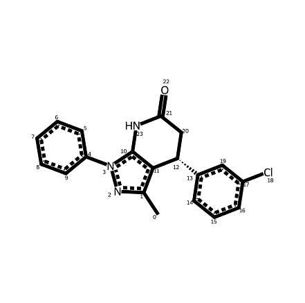 Cc1nn(-c2ccccc2)c2c1[C@@H](c1cccc(Cl)c1)CC(=O)N2